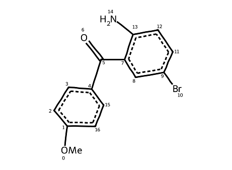 COc1ccc(C(=O)c2cc(Br)ccc2N)cc1